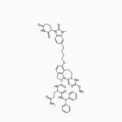 Cn1c(=O)n(C2CCC(=O)NC2=O)c2ccc(CCCCOc3ccc4c5c3CC[C@H](NC(=O)OC(C)(C)C)C(=O)N5[C@H](C(=O)NC(CCC(N)=O)C(=O)NC(c3ccccc3)c3ccccc3)C4)cc21